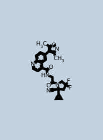 Cc1noc(C)c1-c1ccc2nccc(C(=O)NCC(=O)N3CC(F)(F)CC3(C#N)C3CC3)c2c1